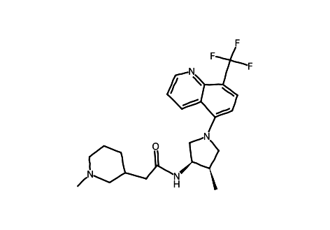 C[C@@H]1CN(c2ccc(C(F)(F)F)c3ncccc23)C[C@@H]1NC(=O)CC1CCCN(C)C1